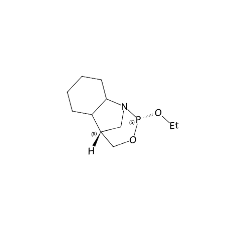 CCO[P@]1OC[C@H]2CN1C1CCCCC12